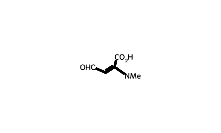 CNC(=CC=O)C(=O)O